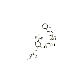 CCOC(=O)CCc1ccc(C(F)(F)F)cc1[C@@H](C)OC[C@H](O)CNC(C)(C)CC1Cc2ccccc2C1